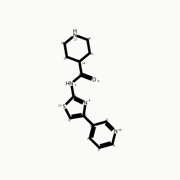 O=C(Nc1nc(-c2cccnc2)cs1)C1CCNCC1